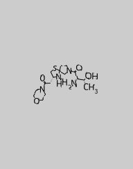 C[C@@H](O)[C@H](N)C(=O)N1CCC2(C1)N[C@H](CC(=O)N1CCOCC1)CS2